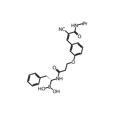 CC(C)NC(=O)C(C#N)=Cc1cccc(OCCC(=O)N[C@@H](Cc2ccccc2)B(O)O)c1